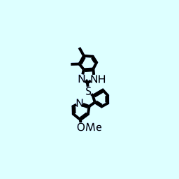 COc1ccnc(-c2ccccc2Sc2nc3c(C)c(C)ccc3[nH]2)c1